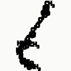 COC(=O)[C@H](COCc1cccc(OCCOCCOCCOS(=O)(=O)c2ccc(C)cc2)c1)NC(=O)Cn1cc(COc2ccc3nc(S(N)(=O)=O)sc3c2)nn1